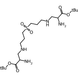 CC(C)(C)OC(=O)C(N)CNCCCS(=O)(=O)CCCNCC(N)C(=O)OC(C)(C)C